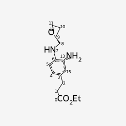 CCOC(=O)CCc1ccc(NC[C@@H]2CCO2)c(N)c1